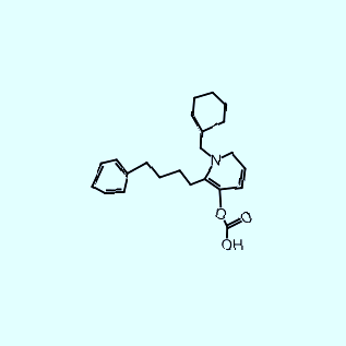 O=C(O)OC1=C(CCCCc2ccccc2)N(CC2CCCCC2)CC=C1